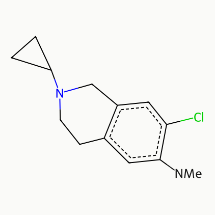 CNc1cc2c(cc1Cl)CN(C1CC1)CC2